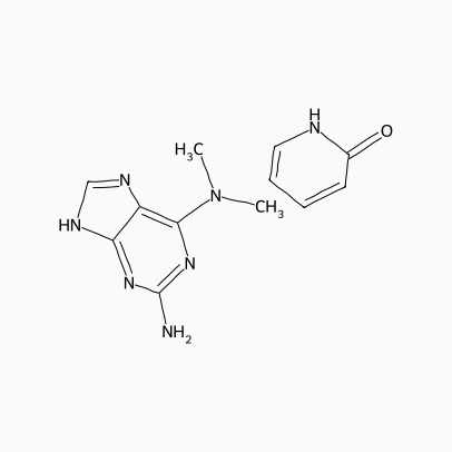 CN(C)c1nc(N)nc2[nH]cnc12.O=c1cccc[nH]1